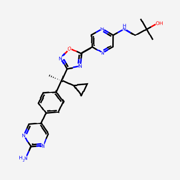 CC(C)(O)CNc1cnc(-c2nc([C@](C)(c3ccc(-c4cnc(N)nc4)cc3)C3CC3)no2)cn1